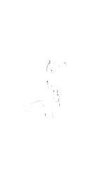 O=S(=O)([O-])C1C=CC=CC1=NNc1ccccc1.[Na+]